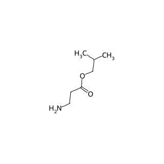 CC(C)COC(=O)CCN